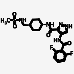 CS(=O)(=O)NC[C@H]1CC[C@H](NC(=O)c2n[nH]cc2NC(=O)c2c(F)cccc2F)CC1